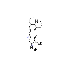 C=C1/C(=C\c2cc3c4c(c2)CCCN4CCC3)C/C(=N/C(C)C)N1CC